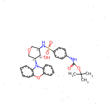 CC(C)(C)OC(=O)Nc1ccc(S(=O)(=O)N[C@@H]2COC[C@H](N3c4ccccc4Oc4ccccc43)[C@H]2O)cc1